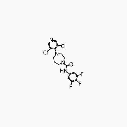 O=C(Nc1cc(F)c(F)c(F)c1)N1CCCN(c2c(Cl)cncc2Cl)CC1